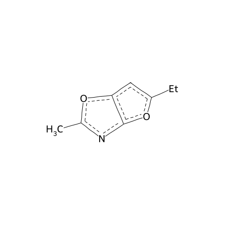 CCc1cc2oc(C)nc2o1